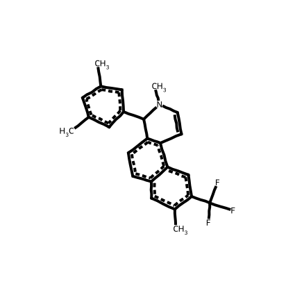 Cc1cc(C)cc(C2c3ccc4cc(C)c(C(F)(F)F)cc4c3C=CN2C)c1